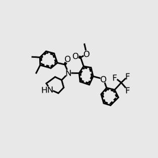 COC(=O)c1cc(Oc2ccccc2C(F)(F)F)ccc1N(C(=O)c1ccc(C)c(C)c1)C1CCNCC1